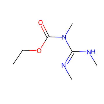 CCOC(=O)N(C)C(=NC)NC